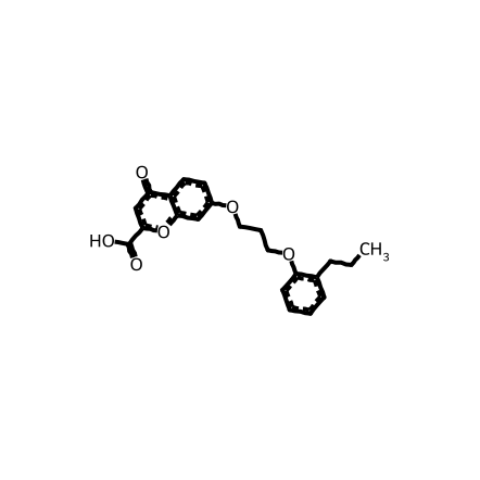 CCCc1ccccc1OCCCOc1ccc2c(=O)cc(C(=O)O)oc2c1